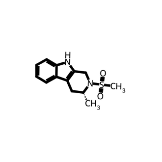 C[C@@H]1Cc2c([nH]c3ccccc23)CN1S(C)(=O)=O